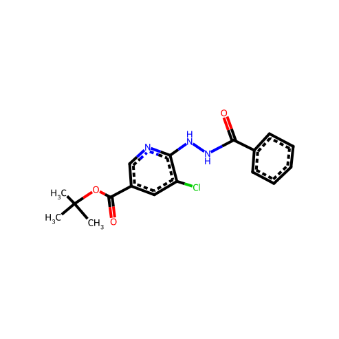 CC(C)(C)OC(=O)c1cnc(NNC(=O)c2ccccc2)c(Cl)c1